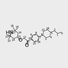 CCCC1CCC(c2ccc(C(=O)COC3CC(C)(C)NC(C)(C)C3)cc2)CC1